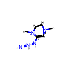 CN1C=C(N=[N+]=[N-])N(C)CC1